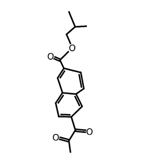 CC(=O)C(=O)c1ccc2cc(C(=O)OCC(C)C)ccc2c1